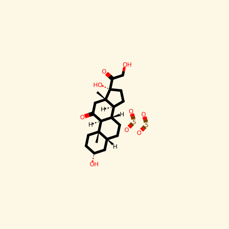 C[C@]12CC[C@@H](O)C[C@H]1CC[C@@H]1[C@@H]2C(=O)C[C@@]2(C)[C@H]1CC[C@]2(O)C(=O)CO.O=S=O.O=S=O